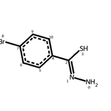 N/N=C(\S)c1ccc(Br)cc1